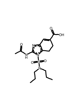 CCCN(CCC)S(=O)(=O)n1c(NC(C)=O)nc2c1CCC(C(=O)O)=C2